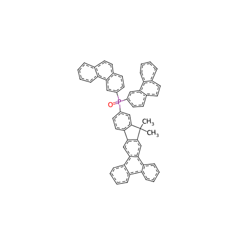 CC1(C)c2cc(P(=O)(c3ccc4ccc5ccccc5c4c3)c3ccc4ccc5ccccc5c4c3)ccc2-c2cc3c4ccccc4c4ccccc4c3cc21